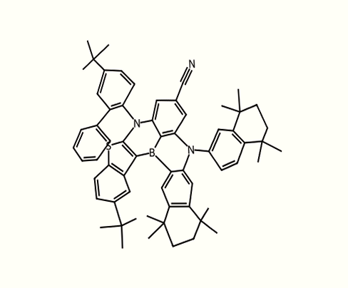 CC(C)(C)c1ccc(N2c3cc(C#N)cc4c3B(c3cc5c(cc3N4c3ccc4c(c3)C(C)(C)CCC4(C)C)C(C)(C)CCC5(C)C)c3c2sc2ccc(C(C)(C)C)cc32)c(-c2ccccc2)c1